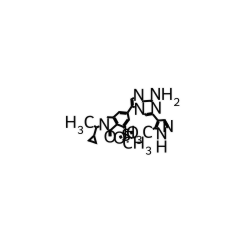 Cc1[nH]ncc1-c1cn2c(-c3cc4c(c(S(C)(=O)=O)c3)C(=O)N(C(C)C3CC3)C4)cnc2c(N)n1